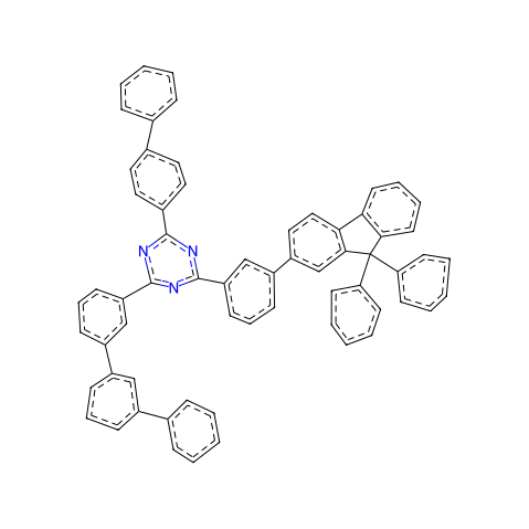 c1ccc(-c2ccc(-c3nc(-c4cccc(-c5cccc(-c6ccccc6)c5)c4)nc(-c4cccc(-c5ccc6c(c5)C(c5ccccc5)(c5ccccc5)c5ccccc5-6)c4)n3)cc2)cc1